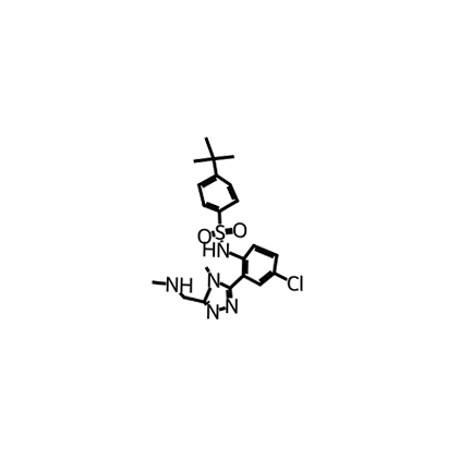 CNCc1nnc(-c2cc(Cl)ccc2NS(=O)(=O)c2ccc(C(C)(C)C)cc2)n1C